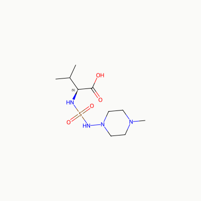 CC(C)[C@H](NS(=O)(=O)NN1CCN(C)CC1)C(=O)O